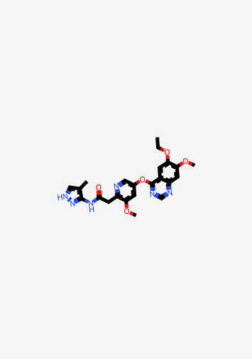 CCOc1cc2c(Oc3cnc(CC(=O)Nc4n[nH]cc4C)c(OC)c3)ncnc2cc1OC